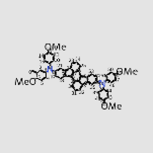 C=C/C=C(\C=C/COC)N(c1ccc(OC)cc1)c1ccc2c(c1)c1cccc3c1c2c1cccc2c4cc(N(c5ccc(OC)cc5)c5ccc(OC)cc5)ccc4c3c21